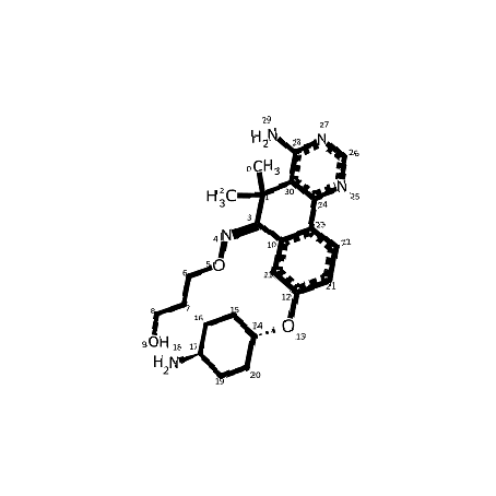 CC1(C)/C(=N/OCCCO)c2cc(O[C@H]3CC[C@H](N)CC3)ccc2-c2ncnc(N)c21